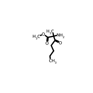 CCCCC(=O)C(C)(N)C(=O)OC